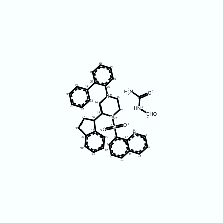 NC(=O)NC=O.O=S(=O)(c1cccc2cccnc12)N1CCN(c2ccccc2-c2ccccc2)CC1C1CCc2ccccc21